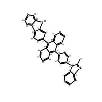 Cc1nc2ccccc2n1-c1ccc(-c2c3ccccc3c(-c3ccc4c(c3)sc3ccccc34)c3ccccc23)cc1